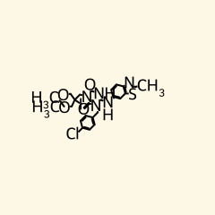 Cc1nc2ccc(NC3NC(=O)N(CC4(I)COC(C)(C)OC4)C(=O)N3Cc3ccc(Cl)cc3)cc2s1